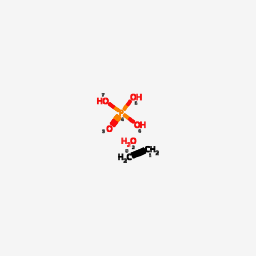 C=C.O.O=P(O)(O)O